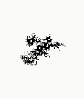 CC(C)(C)OP(=O)(OC(C)(C)C)OC(C)(C)CNC(=O)N(c1nn(CC(F)(F)F)c2c(-c3ccc(C#CC(C)(C)S(C)(=O)=O)nc3[C@H](Cc3cc(F)cc(F)c3)NC(=O)Cn3nc(C(F)(F)F)c4c3C(F)(F)[C@@H]3C[C@H]43)ccc(Cl)c12)S(C)(=O)=O